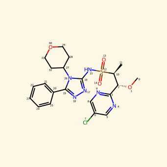 CO[C@H](c1ncc(Cl)cn1)[C@H](C)S(=O)(=O)Nc1nnc(-c2ccccc2)n1C1CCOCC1